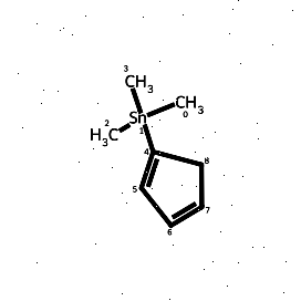 [CH3][Sn]([CH3])([CH3])[C]1=CC=CC1